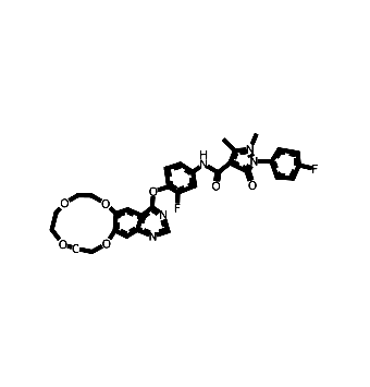 Cc1c(C(=O)Nc2ccc(Oc3ncnc4cc5c(cc34)OCCOCCOCCO5)c(F)c2)c(=O)n(-c2ccc(F)cc2)n1C